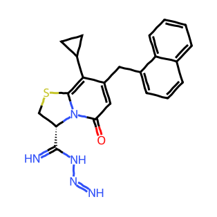 N=NNC(=N)[C@@H]1CSc2c(C3CC3)c(Cc3cccc4ccccc34)cc(=O)n21